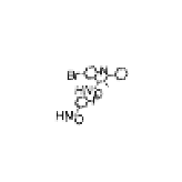 CNC(=O)c1ccc(NC(=O)c2c(C)c(-c3ccccc3)nc3ccc(Br)cc23)c(F)c1